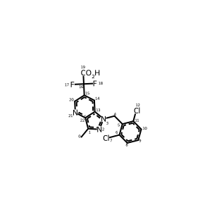 Cc1nn(Cc2c(Cl)cccc2Cl)c2cc(C(F)(F)C(=O)O)cnc12